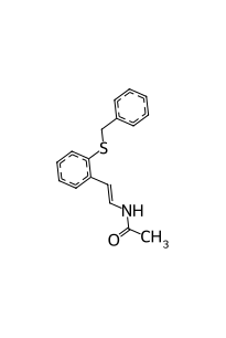 CC(=O)NC=Cc1ccccc1SCc1ccccc1